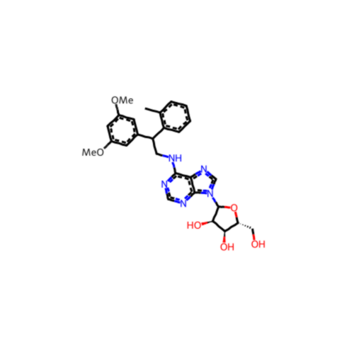 COc1cc(OC)cc(C(CNc2ncnc3c2ncn3C2O[C@H](CO)[C@@H](O)[C@H]2O)c2ccccc2C)c1